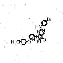 CCn1c(=O)c2cnc(Nc3ccc(Br)cc3)nc2n1-c1cccc(OC2CCN(C)CC2)n1